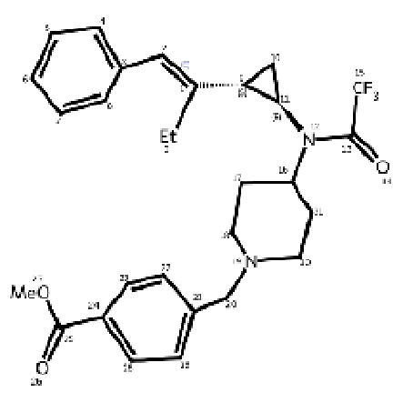 CC/C(=C\c1ccccc1)[C@@H]1C[C@H]1N(C(=O)C(F)(F)F)C1CCN(Cc2ccc(C(=O)OC)cc2)CC1